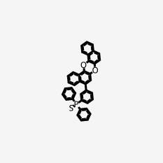 S=P(c1ccccc1)(c1ccccc1)c1cccc(-c2cc3c(c4ccccc24)Oc2c(ccc4ccccc24)O3)c1